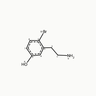 NCCc1cc(O)ccc1Br